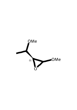 COC(C)[C@@H]1OC1OC